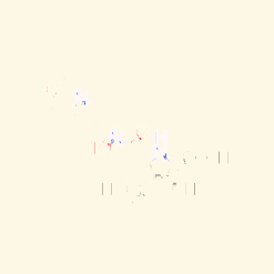 Cc1c(C(=O)O)[nH]c(CC(=O)N(O)CCCN2CCOCC2)c1C(=O)O